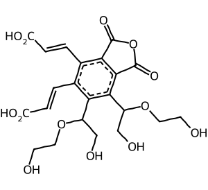 O=C(O)C=Cc1c(C=CC(=O)O)c(C(CO)OCCO)c(C(CO)OCCO)c2c1C(=O)OC2=O